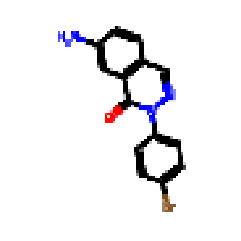 Nc1ccc2cnn(-c3ccc(Br)cc3)c(=O)c2c1